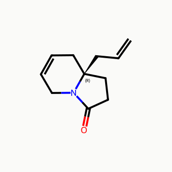 C=CC[C@]12CC=CCN1C(=O)CC2